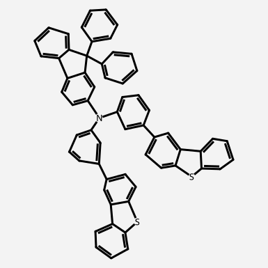 c1ccc(C2(c3ccccc3)c3ccccc3-c3ccc(N(c4cccc(-c5ccc6sc7ccccc7c6c5)c4)c4cccc(-c5ccc6sc7ccccc7c6c5)c4)cc32)cc1